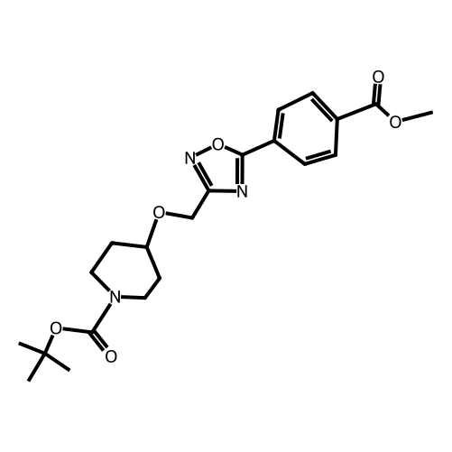 COC(=O)c1ccc(-c2nc(COC3CCN(C(=O)OC(C)(C)C)CC3)no2)cc1